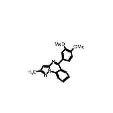 COc1ccc(-c2nc3cc(C)nn3c3ccccc23)cc1OC